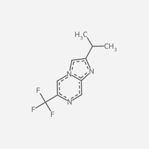 CC(C)c1cn2cc(C(F)(F)F)ncc2n1